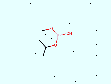 COB(O)OC(C)C